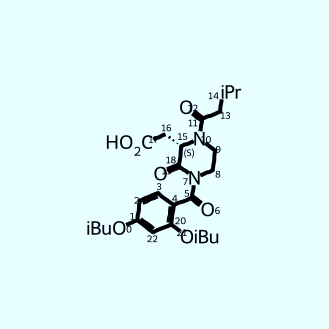 CC(C)COc1ccc(C(=O)N2CCN(C(=O)CC(C)C)[C@@H](CC(=O)O)C2=O)c(OCC(C)C)c1